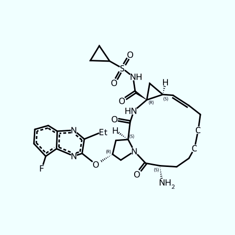 CCc1nc2cccc(F)c2nc1O[C@@H]1C[C@H]2C(=O)N[C@]3(C(=O)NS(=O)(=O)C4CC4)C[C@H]3C=CCCCCC[C@H](N)C(=O)N2C1